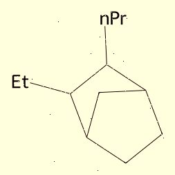 CCCC1C2CCC(C2)C1CC